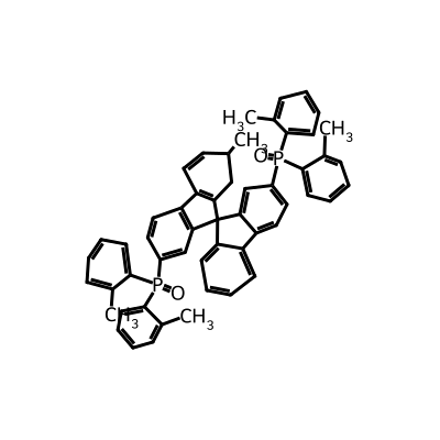 Cc1ccccc1P(=O)(c1ccc2c(c1)C1(C3=C2C=CC(C)C3)c2ccccc2-c2ccc(P(=O)(c3ccccc3C)c3ccccc3C)cc21)c1ccccc1C